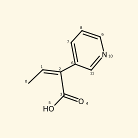 CC=C(C(=O)O)c1cccnc1